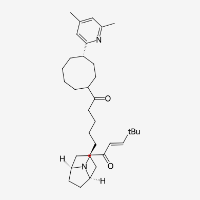 Cc1cc(C)nc([C@H]2CCCCC(C(=O)CCCC[C@H]3C[C@H]4CC[C@@H](C3)N4CC(=O)/C=C/C(C)(C)C)CC2)c1